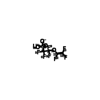 O=S(=O)([O-])C(F)(F)C(F)(F)OC(F)=C(F)F.[Li+]